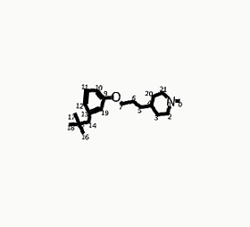 CN1CCC(CCCOc2cccc(CC(C)(C)C)c2)CC1